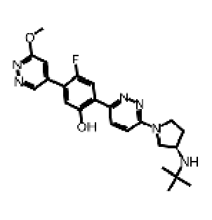 COc1cc(-c2cc(O)c(-c3ccc(N4CC[C@@H](NC(C)(C)C)C4)nn3)cc2F)cnn1